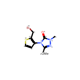 COc1nn(C)c(=O)n1-c1ccsc1CBr